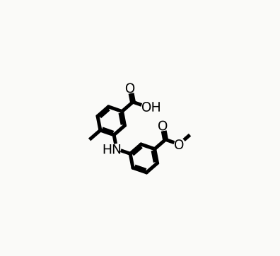 COC(=O)c1cccc(Nc2cc(C(=O)O)ccc2C)c1